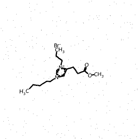 CCCCCn1cc(CCC(=O)OC)[n+](CCC)c1.[Br-]